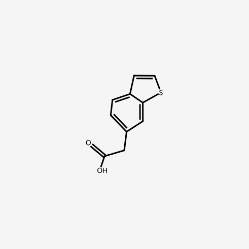 O=C(O)Cc1ccc2ccsc2c1